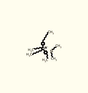 CCCCCCCCC1=C(c2ccc(CCCC)cc2)[N+](=[N-])C(c2ccc(CCCCCCCC)cc2)=C1CCCCCC.CCCC[CH2][Ni][CH2]CCCC